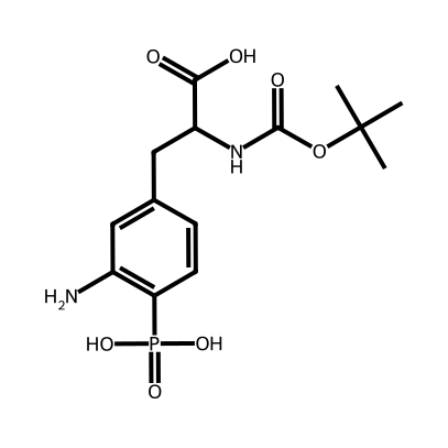 CC(C)(C)OC(=O)NC(Cc1ccc(P(=O)(O)O)c(N)c1)C(=O)O